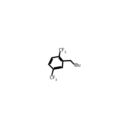 CCC(C)Cc1cc(C(F)(F)F)ccc1C(F)(F)F